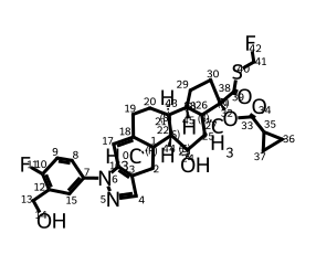 C[C@]12Cc3cnn(-c4ccc(F)c(CO)c4)c3C=C1CC[C@@H]1[C@@H]2[C@@H](O)C[C@@]2(C)[C@H]1CC[C@]2(OC(=O)C1CC1)C(=O)SCF